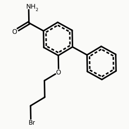 NC(=O)c1ccc(-c2ccccc2)c(OCCCBr)c1